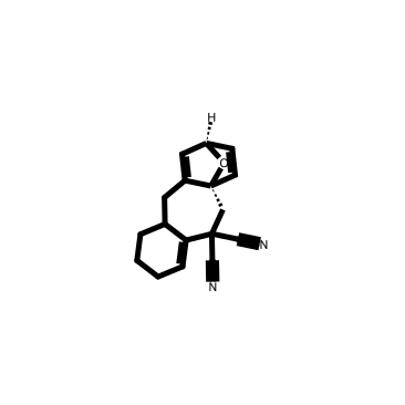 N#CC1(C#N)C[C@]23C=C[C@H](C=C2CC2CCCC=C21)O3